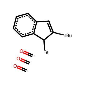 CCCCC1=Cc2ccccc2[CH]1[Fe].[C]=O.[C]=O.[C]=O